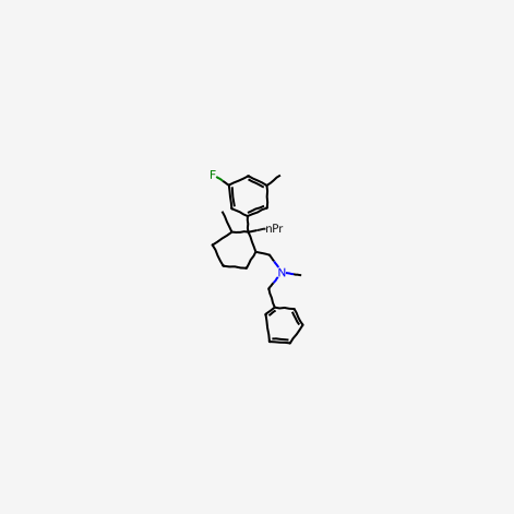 CCCC1(c2cc(C)cc(F)c2)C(C)CCCC1CN(C)Cc1ccccc1